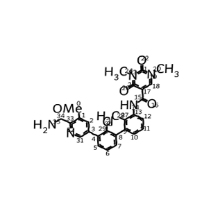 COc1cc(-c2cccc(-c3cccc(NC(=O)c4cn(C)c(=O)n(C)c4=O)c3C)c2Cl)cnc1CN